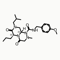 CCC[C@H]1C(=O)N(CC(C)C)C[C@H]2N1C(=O)CN(C)N2C(=O)NCc1ccc(OC)cc1